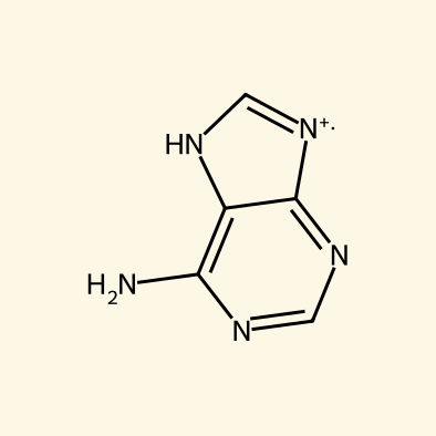 Nc1ncnc2c1NC=[N+]2